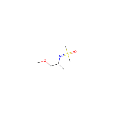 COC[C@@H](C)N=S(C)(C)=O